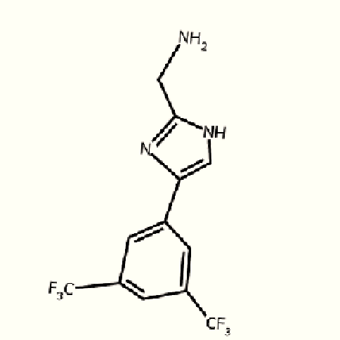 NCc1nc(-c2cc(C(F)(F)F)cc(C(F)(F)F)c2)c[nH]1